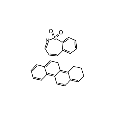 C1=c2ccc3c(c2CCC1)CC=c1ccccc1=3.O=S1(=O)N=CC=Cc2ccccc21